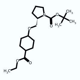 CCOC(=O)C1CCC(OC[C@@H]2CCCN2C(=O)OC(C)(C)C)CC1